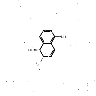 C[C@H]1C=Cc2c(N)cccc2[C@@H]1O